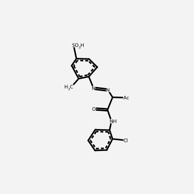 CC(=O)C(/N=N/c1ccc(S(=O)(=O)O)cc1C)C(=O)Nc1ccccc1Cl